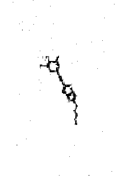 CCCCCc1cc2sc(C#Cc3cc(C)c(N)c(F)c3)cc2s1